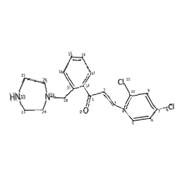 O=C(C=Cc1ccc(Cl)cc1Cl)c1ccccc1CN1CCNCC1